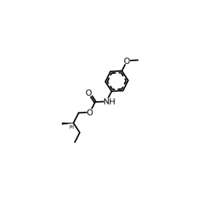 CC[C@@H](C)COC(=O)Nc1ccc(OC)cc1